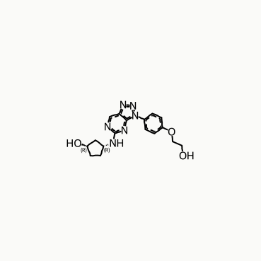 OCCOc1ccc(-n2nnc3cnc(N[C@@H]4CC[C@@H](O)C4)nc32)cc1